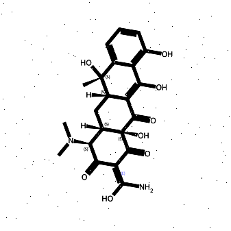 CN(C)[C@@H]1C(=O)/C(=C(/N)O)C(=O)[C@@]2(O)C(=O)C3=C(O)c4c(O)cccc4[C@@](C)(O)[C@H]3C[C@@H]12